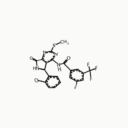 CSc1nc(NC(=O)c2cc(F)cc(C(F)(F)F)c2)c2c(n1)C(=O)NC2c1ccccc1Cl